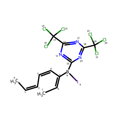 C\C=C/C=C\C(=C/C)B(I)c1nc(C(Cl)(Cl)Cl)nc(C(Cl)(Cl)Cl)n1